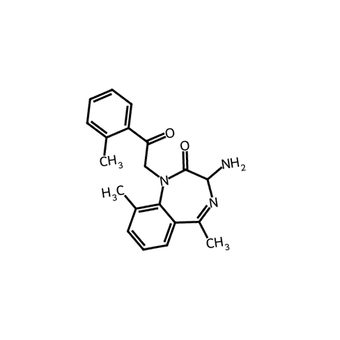 CC1=NC(N)C(=O)N(CC(=O)c2ccccc2C)c2c(C)cccc21